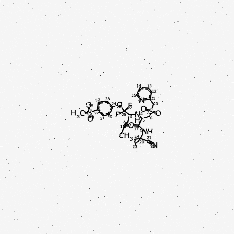 CC#C[C@H](N[C@@H](CS(=O)(=O)Cc1ccccn1)C(=O)NC1(C#N)CC1)C(F)(F)Oc1ccc(S(C)(=O)=O)cc1